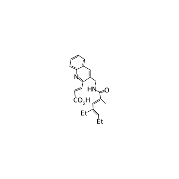 CCC=C(C=C(C)C(=O)NCc1cc2ccccc2nc1C=CC(=O)O)CC